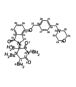 BC1C(=O)N(B)C(=O)C(B)(N2Cc3c(OCc4ccc(CN5CCOCC5)cc4)cccc3C2=O)C1B